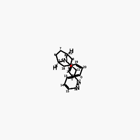 c1ccc(N2[C@@H]3CC[C@H]2C[C@@H](Cc2cccnn2)C3)cc1